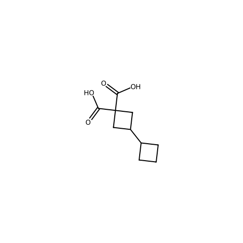 O=C(O)C1(C(=O)O)CC(C2CCC2)C1